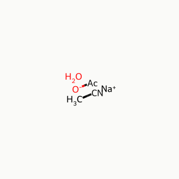 CC#N.CC(=O)[O-].O.[Na+]